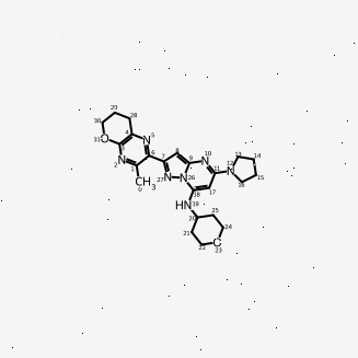 Cc1nc2c(nc1-c1cc3nc(N4CCCC4)cc(NC4CCOCC4)n3n1)CCCO2